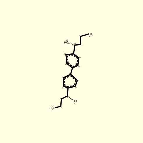 CCC[C@@H](O)c1ccc(-c2ccc([C@H](O)CCC)cc2)cc1